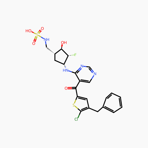 O=C(c1cc(Cc2ccccc2)c(Cl)s1)c1cncnc1N[C@@H]1C[C@H](CNS(=O)(=O)O)[C@@H](O)[C@@H]1F